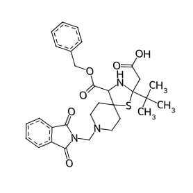 CC(C)(C)C1(CC(=O)O)NC(C(=O)OCc2ccccc2)C2(CCN(CN3C(=O)c4ccccc4C3=O)CC2)S1